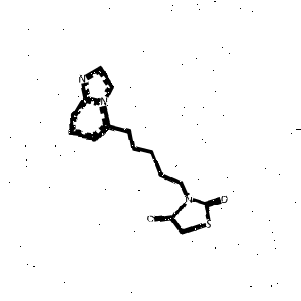 O=C1CSC(=O)N1CCCCCc1cccc2nccn12